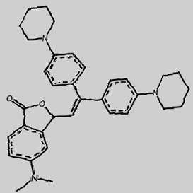 CN(C)c1ccc2c(c1)C(C=C(c1ccc(N3CCCCC3)cc1)c1ccc(N3CCCCC3)cc1)OC2=O